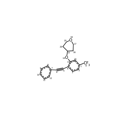 FC(F)(F)c1ccc(C#Cc2ccccc2)c(OC2CCOCC2)c1